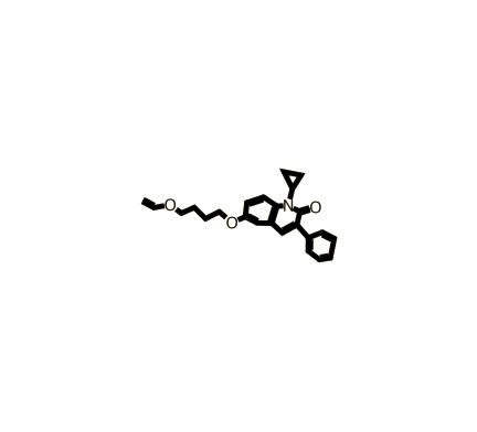 C=COCCCCOc1ccc2c(c1)cc(-c1ccccc1)c(=O)n2C1CC1